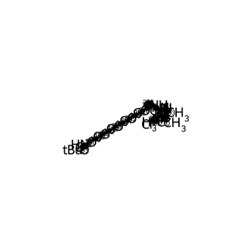 Cc1sc2c(c1C)C(c1ccc(Cl)cc1)=N[C@@H](CC(=O)Nc1cccc(OCCOCCOCCOCCOCCOCCOCCOCCOCCNC(=O)OC(C)(C)C)c1)c1nnc(C)n1-2